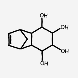 OC1C(O)C(O)C2C3C=CC(C3)C2C1O